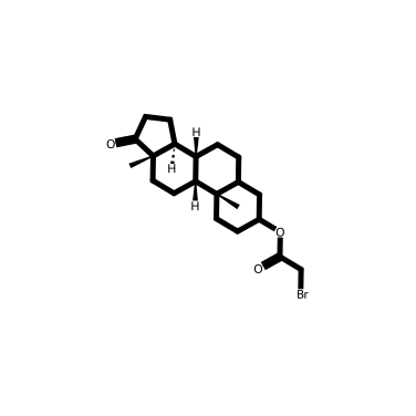 C[C@]12CCC(OC(=O)CBr)CC1CC[C@@H]1[C@H]2CC[C@]2(C)C(=O)CC[C@@H]12